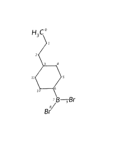 CCCC1CCC(B(Br)Br)CC1